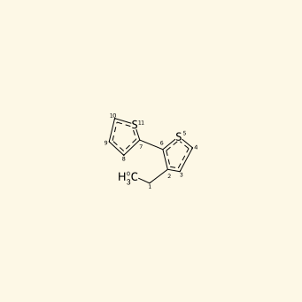 CCc1ccsc1-c1cccs1